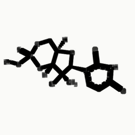 CC(C)OP1(=S)OC[C@H]2O[C@@H](n3ccc(=O)[nH]c3=O)[C@](C)(Cl)[C@@H]2O1